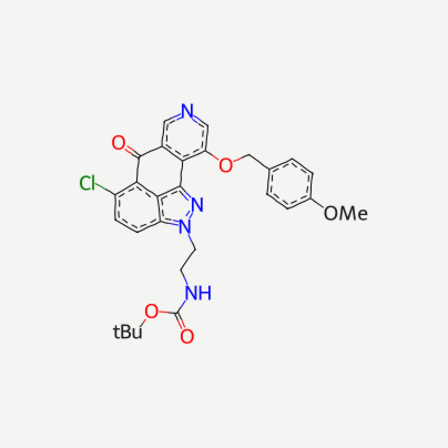 COc1ccc(COc2cncc3c2-c2nn(CCNC(=O)OC(C)(C)C)c4ccc(Cl)c(c24)C3=O)cc1